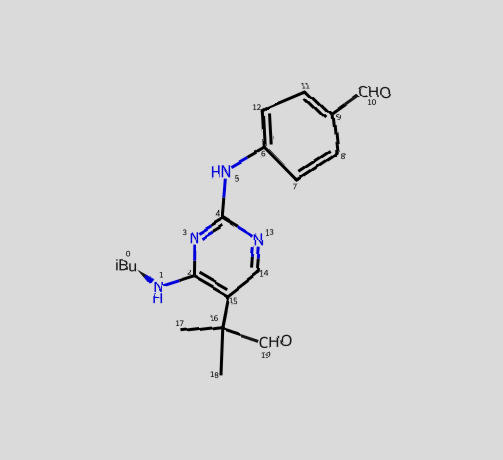 CC[C@H](C)Nc1nc(Nc2ccc(C=O)cc2)ncc1C(C)(C)C=O